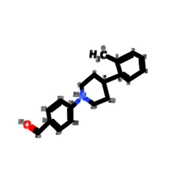 Cc1ccccc1C1CCN(c2ccc(C=O)cc2)CC1